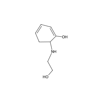 OCCNC1CC=CC=C1O